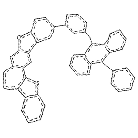 c1ccc(-c2c3ccccc3c(-c3cccc(-c4ccc5oc6cc7ccc8c9ccccc9sc8c7cc6c5c4)c3)c3ccccc23)cc1